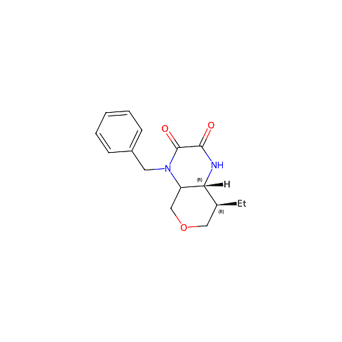 CC[C@H]1COCC2[C@@H]1NC(=O)C(=O)N2Cc1ccccc1